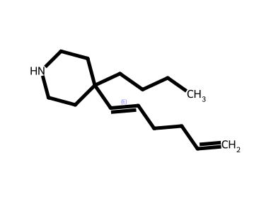 C=CCC/C=C/C1(CCCC)CCNCC1